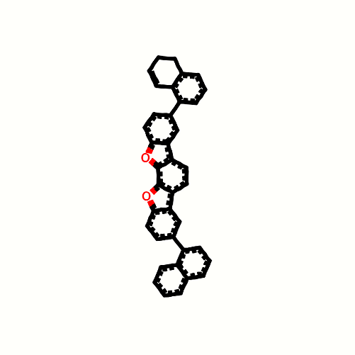 C1=Cc2c(cccc2-c2ccc3oc4c(ccc5c6cc(-c7cccc8ccccc78)ccc6oc54)c3c2)CC1